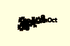 CCCCCCCCOC(=O)c1ccc(-n2c(C)cc(C=C3C(=O)N(c4ccccc4)N(c4ccccc4)C3=O)c2C)cc1